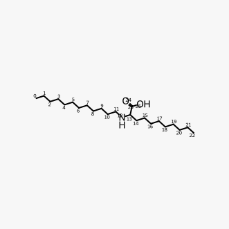 CCCCCCCCCCCCNC(CCCCCCCCC)C(=O)O